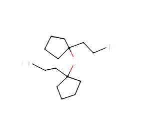 CC(C)CCC1(OC2(CCC(C)C)CCCC2)CCCC1